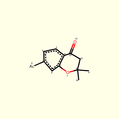 CC(=O)c1ccc2c(c1)OC(C)(C)CC2=O